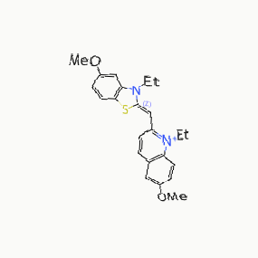 CCN1/C(=C/c2ccc3cc(OC)ccc3[n+]2CC)Sc2ccc(OC)cc21